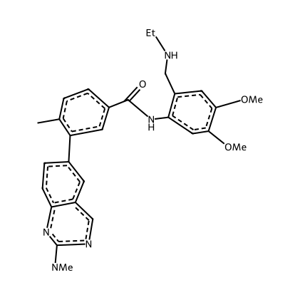 CCNCc1cc(OC)c(OC)cc1NC(=O)c1ccc(C)c(-c2ccc3nc(NC)ncc3c2)c1